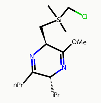 CCCC1=N[C@@H](C[Si](C)(C)CCl)C(OC)=N[C@@H]1C(C)C